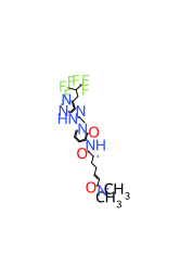 CN(C)C(=O)/C=C/CC[CH]C(=O)Nc1cccn(Cc2nc3c(CC(C(F)(F)F)C(F)(F)F)ncnc3[nH]2)c1=O